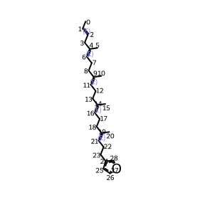 C/C=C/C/C(C)=C/CC/C(C)=C/CC/C(C)=C/CC/C(C)=C/CCc1ccoc1